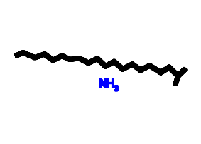 CCCCCCCCCCCCCCCCCCC(C)C.N